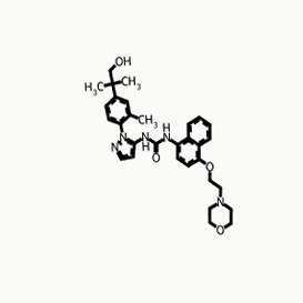 Cc1cc(C(C)(C)CO)ccc1-n1nccc1NC(=O)Nc1ccc(OCCN2CCOCC2)c2ccccc12